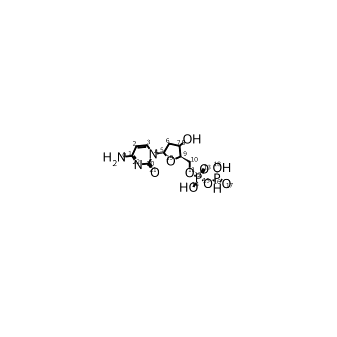 Nc1ccn([C@H]2CC(O)[C@@H](COP(=O)(O)O[PH](=O)O)O2)c(=O)n1